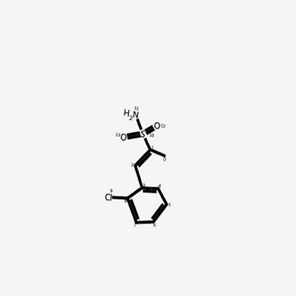 C/C(=C\c1ccccc1Cl)S(N)(=O)=O